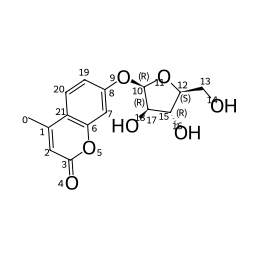 Cc1cc(=O)oc2cc(O[C@H]3O[C@@H](CO)[C@H](O)[C@H]3O)ccc12